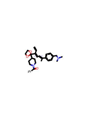 C=C/C(=C\C=C(/C)c1ccc(CN(C)C)cc1)C1(C2CCN(C(=O)C(C)C)CC2)OCCO1